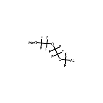 COC(F)(F)C(F)(F)OC(F)(F)C(F)(F)OC(F)(F)C(C)=O